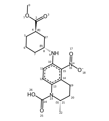 COC(=O)[C@@H]1CCC[C@@H](Nc2ccc3c(c2[N+](=O)[O-])CC[C@H](C)N3C(=O)O)C1